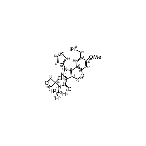 [2H]C([2H])([2H])N(C(=O)c1nn(-c2ccsc2)c2c1COc1cc(OC)c(CC(C)C)cc1-2)C1(C)COC1